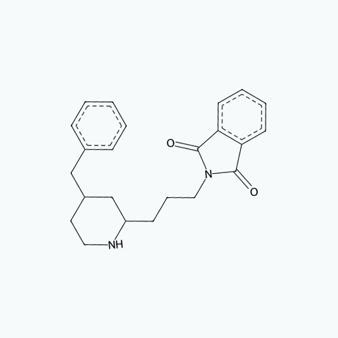 O=C1c2ccccc2C(=O)N1CCCC1CC(Cc2ccccc2)CCN1